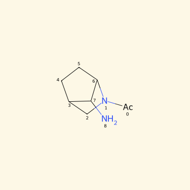 CC(=O)N1CC2CCC1C2N